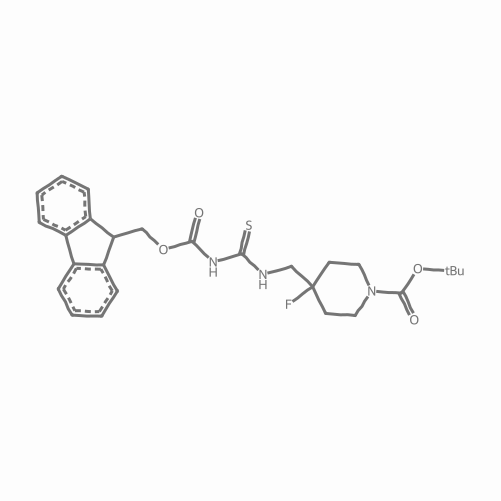 CC(C)(C)OC(=O)N1CCC(F)(CNC(=S)NC(=O)OCC2c3ccccc3-c3ccccc32)CC1